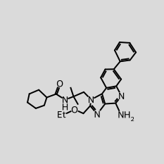 CCOCc1nc2c(N)nc3cc(-c4ccccc4)ccc3c2n1CC(C)(C)NC(=O)C1CCCCC1